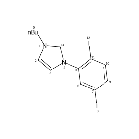 CCCCN1C=CN(c2cc(I)ccc2I)C1